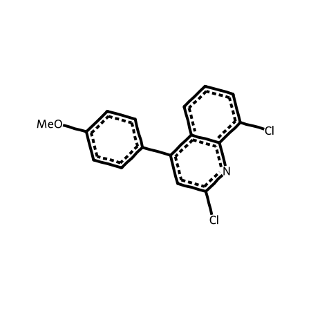 COc1ccc(-c2cc(Cl)nc3c(Cl)cccc23)cc1